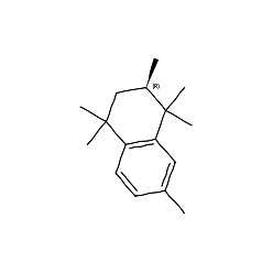 Cc1ccc2c(c1)C(C)(C)[C@H](C)CC2(C)C